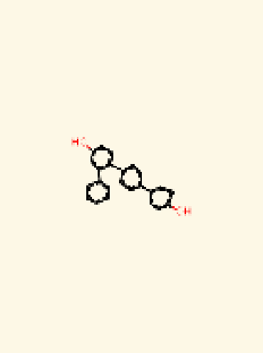 Oc1ccc(-c2ccc(-c3ccc(O)cc3-c3ccccc3)cc2)cc1